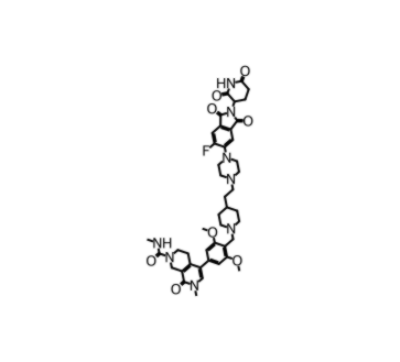 CNC(=O)N1CCc2c(-c3cc(OC)c(CN4CCC(CCN5CCN(c6cc7c(cc6F)C(=O)N(C6CCC(=O)NC6=O)C7=O)CC5)CC4)c(OC)c3)cn(C)c(=O)c2C1